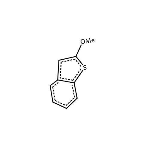 COc1cc2ccccc2s1